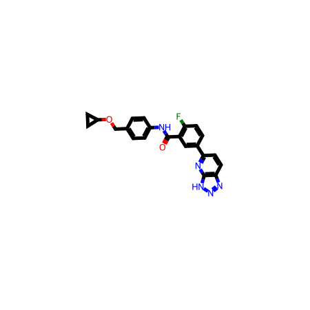 O=C(Nc1ccc(COC2CC2)cc1)c1cc(-c2ccc3nn[nH]c3n2)ccc1F